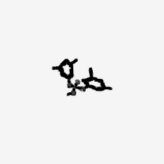 COP(=O)(Oc1cc(C)cc(C)c1)Oc1cc(C)cc(C)c1